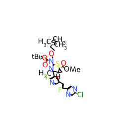 COC(=O)[C@]12C[C@H]1[C@@](C)(c1cc(/C=C(\F)c3cnc(Cl)cn3)cnc1F)N=C(N(COCC[Si](C)(C)C)C(=O)OC(C)(C)C)S2